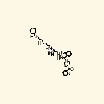 N=N/C(=C\NCCCNCCCNC1CCCCC1)CNc1nc(N2CCN(C(=O)c3ccccn3)CC2)c2ccccc2n1